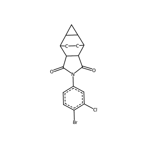 O=C1C2C3CCC(C4CC43)C2C(=O)N1c1ccc(Br)c(Cl)c1